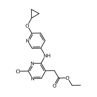 CCOC(=O)Cc1cnc(Cl)nc1Nc1ccc(OC2CC2)nc1